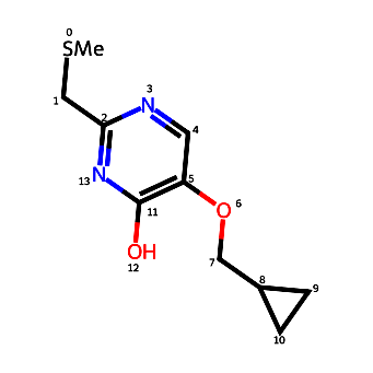 CSCc1ncc(OCC2CC2)c(O)n1